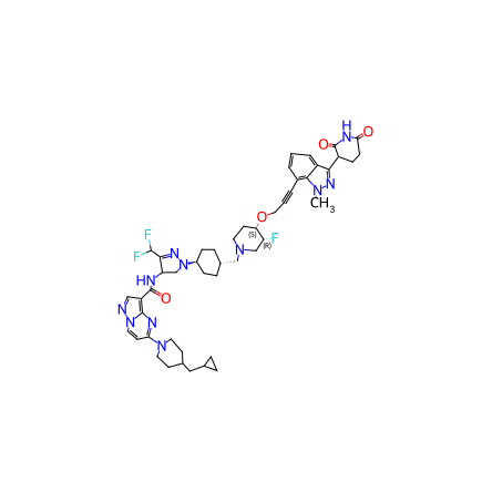 Cn1nc(C2CCC(=O)NC2=O)c2cccc(C#CCO[C@H]3CCN(C[C@H]4CC[C@H](N5CC(NC(=O)c6cnn7ccc(N8CCC(CC9CC9)CC8)nc67)C(C(F)F)=N5)CC4)C[C@H]3F)c21